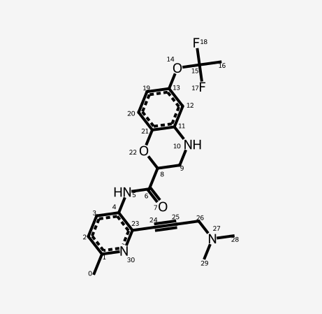 Cc1ccc(NC(=O)C2CNc3cc(OC(C)(F)F)ccc3O2)c(C#CCN(C)C)n1